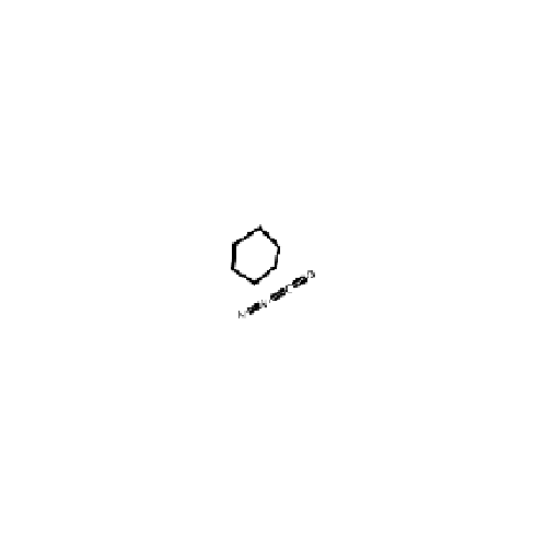 C1CCCCC1.[N-]=[N+]=C=O